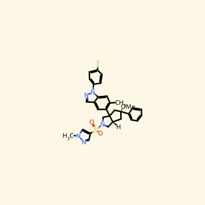 CO[C@]1(c2ccccc2)C[C@@H]2CN(S(=O)(=O)c3cnn(C)c3)CC2(c2cc3cnn(-c4ccc(F)cc4)c3cc2C)C1